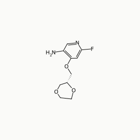 Nc1cnc(F)cc1OC[C@H]1COCCO1